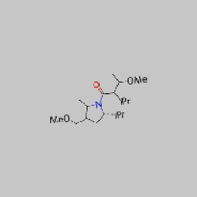 COCC1C[C@@H](C(C)C)N(C(=O)C(C(C)C)C(C)OC)C1C